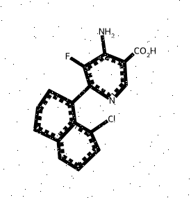 Nc1c(C(=O)O)cnc(-c2cccc3cccc(Cl)c23)c1F